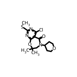 CSc1nc(Cl)c2c(n1)OC(C)(C)CN(C1CCOCC1)C2=O